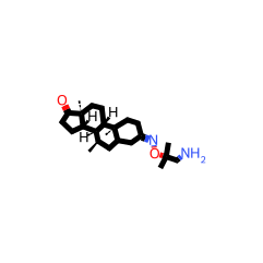 C[C@@H]1CC2CC(=NOC(C)(C)CN)CC[C@]2(C)[C@H]2CC[C@]3(C)C(=O)CC[C@H]3[C@H]12